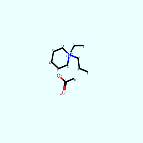 CC(=O)[O-].CCC[N+]1(CC)CCCCC1